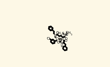 CCN(CCc1ccccc1)C(=O)CCC(NC(=O)C(CC1CCCCC1)NC(=O)OCc1cccc(Cl)c1)C(=O)N(C)OC